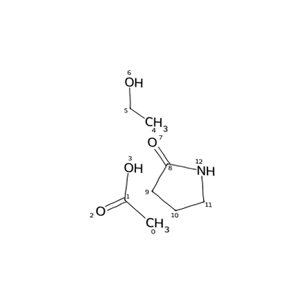 CC(=O)O.CCO.O=C1CCCN1